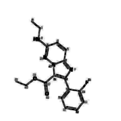 CCNc1ccc2nc(-c3ccccc3F)c(C(=O)OCC)n2n1